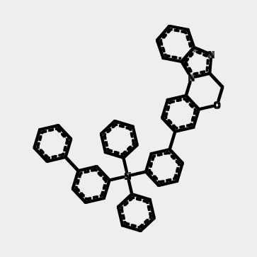 c1ccc(-c2cccc([Si](c3ccccc3)(c3ccccc3)c3cccc(-c4ccc5c(c4)OCc4nc6ccccc6n4-5)c3)c2)cc1